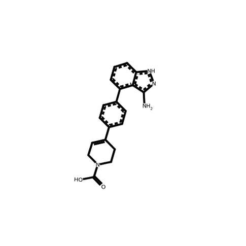 Nc1n[nH]c2cccc(-c3ccc(C4=CCN(C(=O)O)CC4)cc3)c12